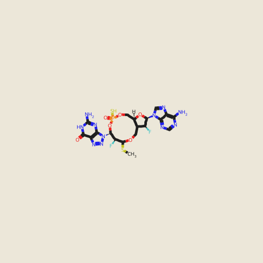 CSC1OCC2[C@@H](COP(=O)(S)O[C@@H](n3nnc4c(=O)[nH]c(N)nc43)[C@@H]1F)O[C@@H](n1cnc3c(N)ncnc31)[C@H]2F